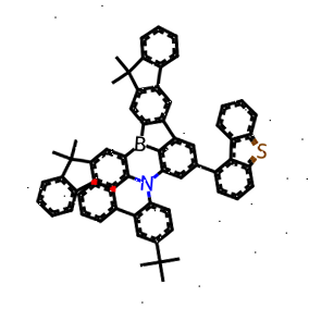 CC(C)(C)c1ccc(N2c3cc4c(cc3B3c5cc6c(cc5-c5cc(-c7cccc8sc9ccccc9c78)cc2c53)-c2ccccc2C6(C)C)C(C)(C)c2ccccc2-4)c(-c2ccccc2)c1